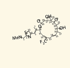 CNCc1nc(/C=C(\C)C2C/C=C(/C(F)(F)F)C/C=C/C(C)C(O)C(C)C(=O)C(C)(C)[C@@H](O)CC(=O)O2)cs1